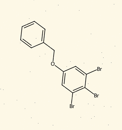 Brc1cc(OCc2ccccc2)cc(Br)c1Br